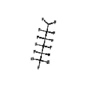 FC(F)C(F)(F)C(F)(F)C(F)(F)C(F)(F)C(F)(Cl)Cl